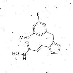 COc1cc(F)cc(Cn2cccc2C=CC(=O)NO)c1